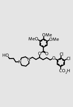 COc1cc(C(=O)OC(CCCOc2cc(C(=O)O)cc(Cl)c2Cl)CCN2CCCN(CCCO)CC2)cc(OC)c1OC